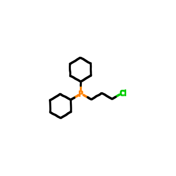 ClCCCP(C1CCCCC1)C1CCCCC1